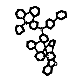 c1ccc(-c2ccc(N(c3ccc4c(c3)-c3ccccc3-c3ccccc3N4c3ccccc3)c3ccc4c(c3)-c3ccccc3-c3ccccc3C43c4ccccc4-c4cc5oc6ccccc6c5cc43)cc2)cc1